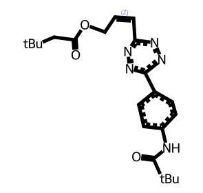 CC(C)(C)CC(=O)OC/C=C\c1nnc(-c2ccc(NC(=O)C(C)(C)C)cc2)nn1